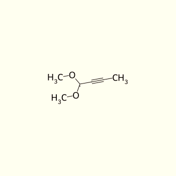 CC#C[C](OC)OC